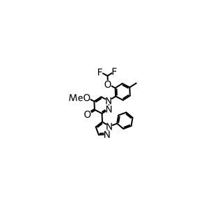 COc1cn(-c2ccc(C)cc2OC(F)F)nc(-c2ccnn2-c2ccccc2)c1=O